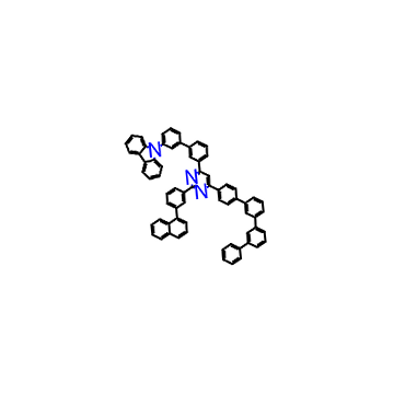 c1ccc(-c2cccc(-c3cccc(-c4ccc(-c5cc(-c6cccc(-c7cccc(-n8c9ccccc9c9ccccc98)c7)c6)nc(-c6cccc(-c7cccc8ccccc78)c6)n5)cc4)c3)c2)cc1